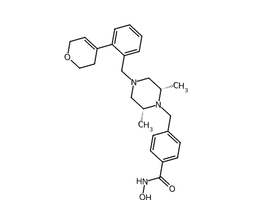 C[C@@H]1CN(Cc2ccccc2C2=CCOCC2)C[C@H](C)N1Cc1ccc(C(=O)NO)cc1